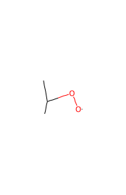 CC(C)O[O]